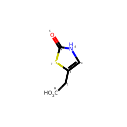 O=C(O)Cc1c[nH]c(=O)s1